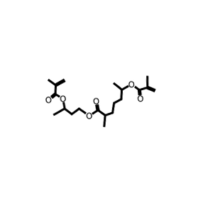 C=C(C)C(=O)OC(C)CCCC(C)C(=O)OCCC(C)OC(=O)C(=C)C